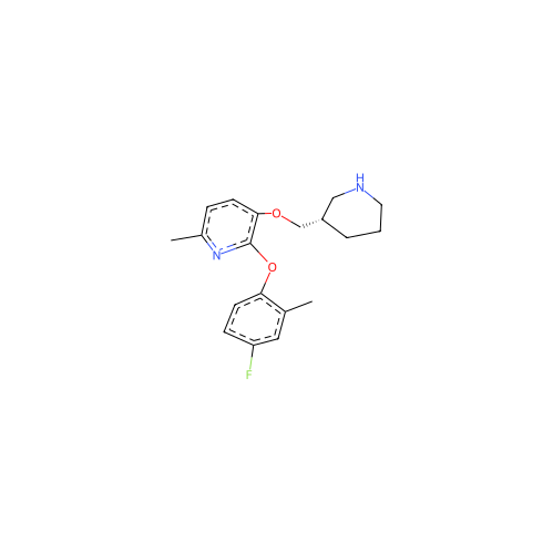 Cc1ccc(OC[C@H]2CCCNC2)c(Oc2ccc(F)cc2C)n1